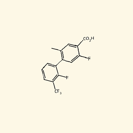 Cc1cc(C(=O)O)c(F)cc1-c1cccc(C(F)(F)F)c1F